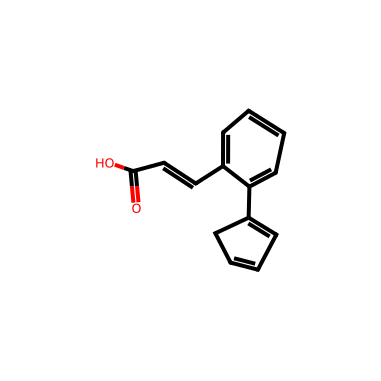 O=C(O)/C=C/c1ccccc1C1=CC=CC1